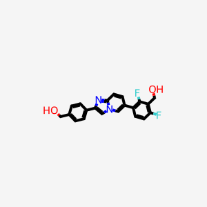 OCc1ccc(-c2cn3cc(-c4ccc(F)c(CO)c4F)ccc3n2)cc1